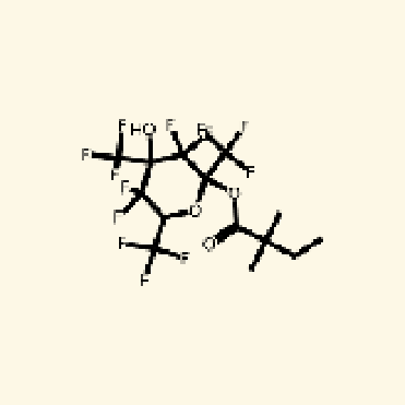 CCC(C)(C)C(=O)OC1(C(F)(F)F)OC(C(F)(F)F)C(F)(F)C(O)(C(F)(F)F)C1(F)F